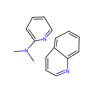 CN(C)c1ccccn1.c1ccc2ncccc2c1